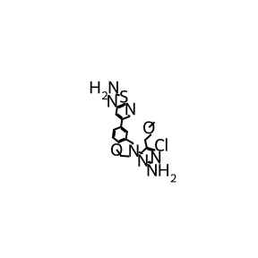 COCCc1c(Cl)nc(N)nc1N1CCOc2ccc(-c3cnc4sc(N)nc4c3)cc2C1